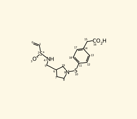 C=C[S+]([O-])NCC1CCN(Sc2ccc(CC(=O)O)cc2)C1